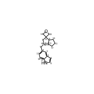 c1cc2cc(CNCC3(C4CCCC4)COC3)ccc2[nH]1